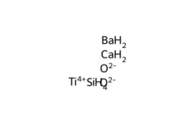 [BaH2].[CaH2].[O-2].[O-2].[SiH4].[Ti+4]